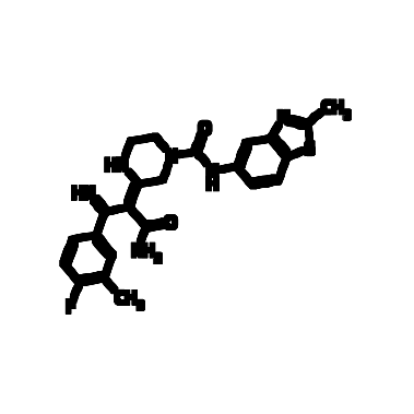 Cc1nc2cc(NC(=O)N3CCN/C(=C(\C(=N)c4ccc(F)c(C)c4)C(N)=O)C3)ccc2s1